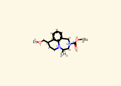 CCOCC1CCN2c3c(cccc31)CN(C(=O)OC(C)(C)C)CC2C